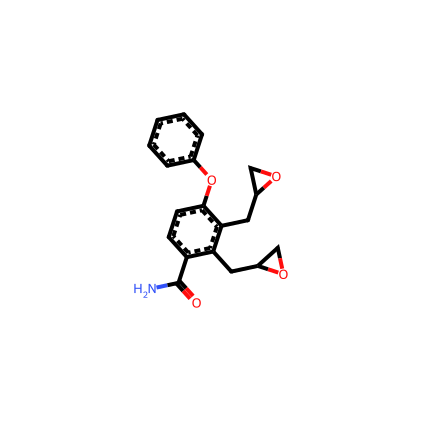 NC(=O)c1ccc(Oc2ccccc2)c(CC2CO2)c1CC1CO1